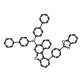 c1ccc(-c2ccc(N(c3ccc(-c4ccccc4)cc3)c3cc4oc5cccc(-c6ccc(-c7nc8ccccc8o7)cc6)c5c4c4ccccc34)cc2)cc1